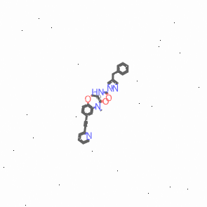 CN1C(=O)[C@@H](NC(=O)n2cc(Cc3ccccc3)cn2)COc2ccc(C#Cc3ccccn3)cc21